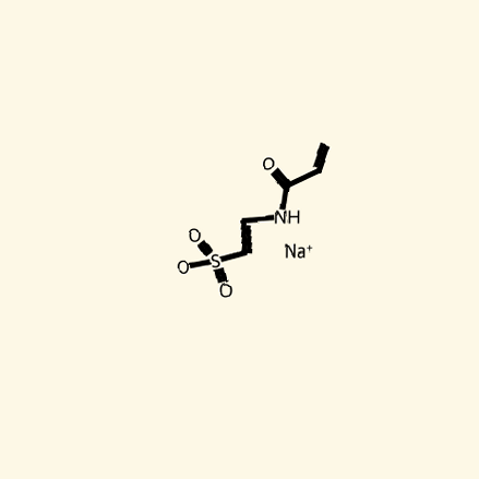 C=CC(=O)NC=CS(=O)(=O)[O-].[Na+]